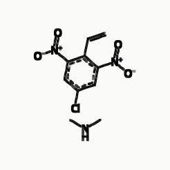 C=Cc1c([N+](=O)[O-])cc(Cl)cc1[N+](=O)[O-].CNC